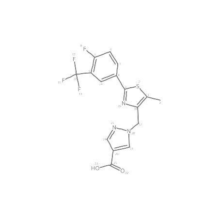 Cc1sc(-c2ccc(F)c(C(F)(F)F)c2)nc1Cn1cc(C(=O)O)cn1